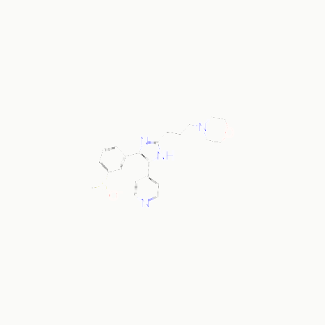 C[S+]([O-])c1cccc(-c2nc(CCCN3CCOCC3)[nH]c2-c2ccncc2)c1